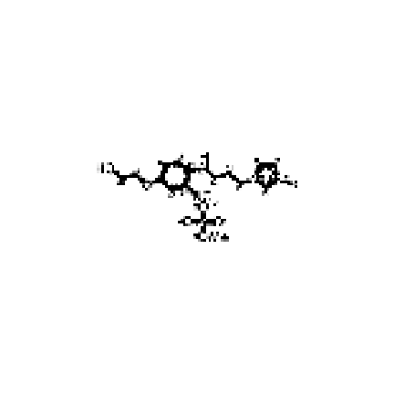 COS(=O)(=O)[O-].C[n+]1ccn(CCCNc2ccc(OCCO)cc2[N+](=O)[O-])c1